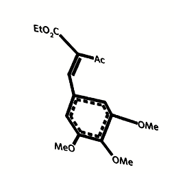 CCOC(=O)C(=Cc1cc(OC)c(OC)c(OC)c1)C(C)=O